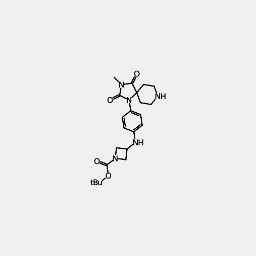 CN1C(=O)N(c2ccc(NC3CN(C(=O)OC(C)(C)C)C3)cc2)C2(CCNCC2)C1=O